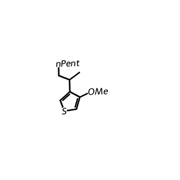 CCCCCCC(C)c1cscc1OC